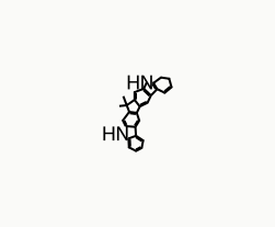 CC1(C)c2cc3[nH]c4c(c3cc2-c2cc3c(cc21)[nH]c1ccccc13)C=CCC4